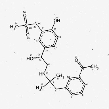 CC(=O)c1cccc(CC(C)(C)NC[C@H](O)c2ccc(O)c(NS(C)(=O)=O)c2)c1